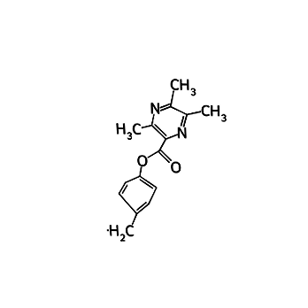 [CH2]c1ccc(OC(=O)c2nc(C)c(C)nc2C)cc1